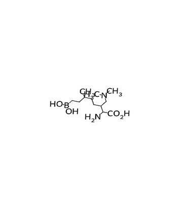 CC(CCB(O)O)CCC(CN(C)C)C(N)C(=O)O